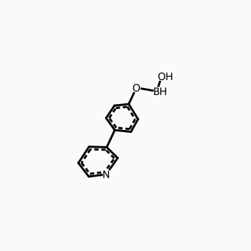 OBOc1ccc(-c2cccnc2)cc1